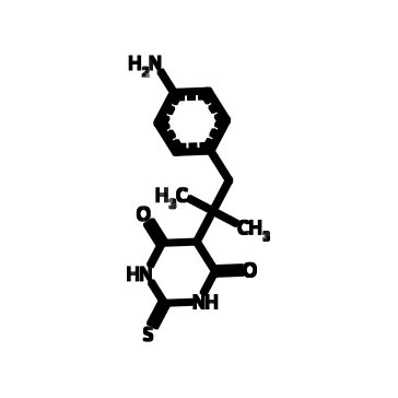 CC(C)(Cc1ccc(N)cc1)C1C(=O)NC(=S)NC1=O